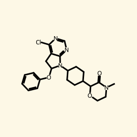 CN1CCOC(C2CCC(N3c4ncnc(Cl)c4CC3Oc3ccccc3)CC2)C1=O